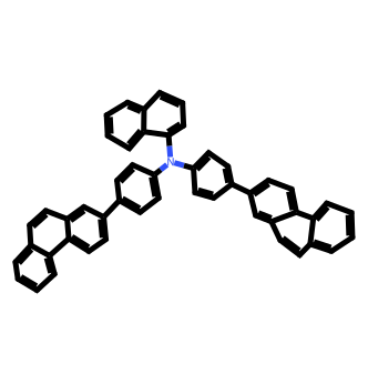 c1ccc2c(N(c3ccc(-c4ccc5c(ccc6ccccc65)c4)cc3)c3ccc(-c4ccc5c(ccc6ccccc65)c4)cc3)cccc2c1